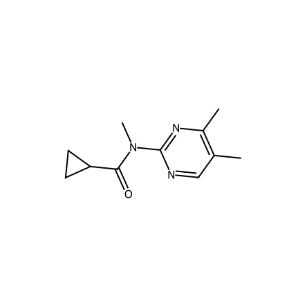 Cc1cnc(N(C)C(=O)C2CC2)nc1C